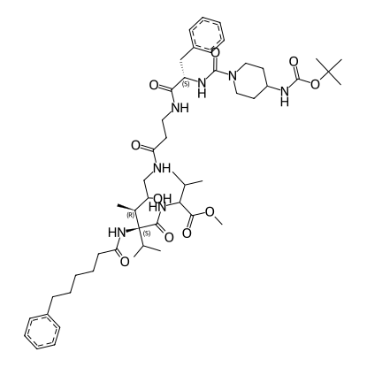 COC(=O)C(NC(=O)[C@](NC(=O)CCCCCc1ccccc1)(C(C)C)[C@@H](C)C(O)CNC(=O)CCNC(=O)[C@H](Cc1ccccc1)NC(=O)N1CCC(NC(=O)OC(C)(C)C)CC1)C(C)C